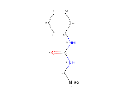 CCCCCCCNC(=O)NC1CCCCC1